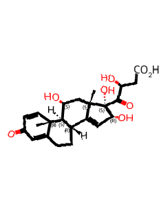 C[C@]12C=CC(=O)C=C1CC[C@H]1C3=C[C@@H](O)[C@](O)(C(=O)C(O)CC(=O)O)[C@@]3(C)C[C@H](O)[C@@H]12